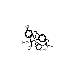 O=C(O)[C@@H]1C[C@@H](C(=O)[C@@](O)(c2ccc(Cl)cc2)S(=O)(=O)c2ccccc2Cl)CN1